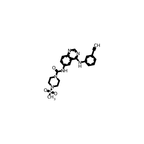 C#Cc1cccc(Nc2ncnc3ccc(NC(=O)N4CCN(S(C)(=O)=O)CC4)cc23)c1